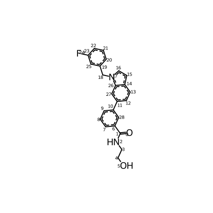 O=C(NCCO)c1cccc(-c2ccc3ccn(Cc4cccc(F)c4)c3c2)c1